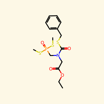 CCOC(=O)CN(CP(=O)(SC)SC)C(=O)SCc1ccccc1